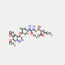 COc1cc2nccc(Oc3ccc(NC(=O)NSC(=O)c4cc(C)oc4C)cc3F)c2cc1OC